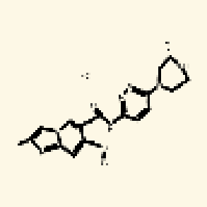 CCOc1cc2nc(C)cn2cc1C(=O)Nc1ccc(N2CCN[C@@H](C)C2)nn1.Cl